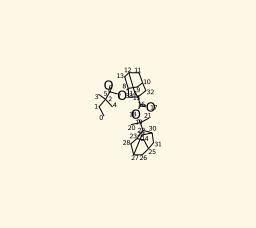 CCC(C)(C)C(=O)OC12CC3CC(C1)CC(C(=O)OC(C)(C)C1C4CC5CC(C4)CC1C5)(C3)C2